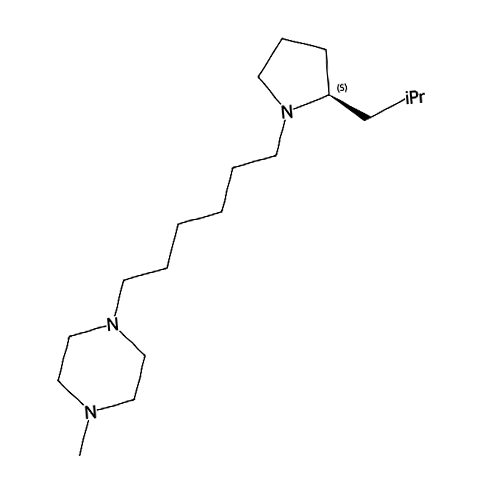 CC(C)C[C@@H]1CCCN1CCCCCCN1CCN(C)CC1